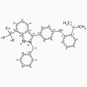 CC(C)c1ccccc1Oc1ccc(-c2c3cccc(C(F)(F)F)c3nn2Cc2ccccc2)cc1